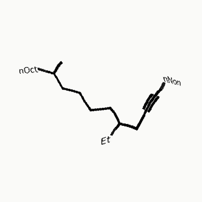 [CH2]CCCCCCCCC#CCC(CC)CCCCC(C)CCCCCCC[CH2]